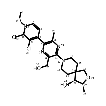 CON1C=CC(c2nc(CO)c(N3CCC4(CC3)CO[C@@H](C)[C@H]4N)nc2C)=C(Cl)C1Cl